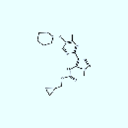 Cc1nc(-c2cnn(C)c2NC(=O)OCC2CC2)ncc1OC1CCCCC1